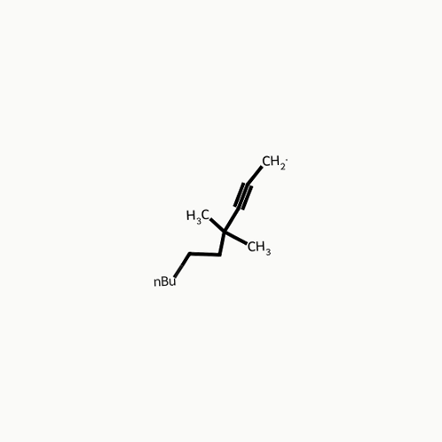 [CH2]C#CC(C)(C)CCCCCC